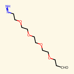 N=NCCOCCOCCOCCOCCC=O